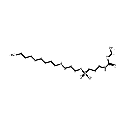 CCCCCCCCCCCCCCCCCCOCCCOP(=O)(O)CCCNC(=O)OCC(Cl)(Cl)Cl